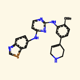 COc1ccc(C2=CCNCC2)cc1Nc1nccc(Nc2ccc3ncsc3c2)n1